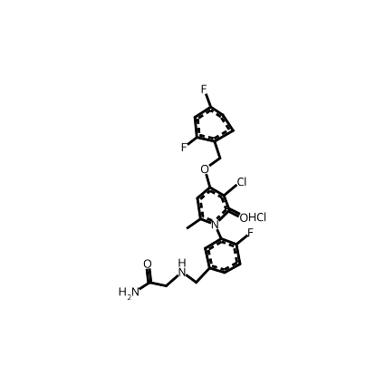 Cc1cc(OCc2ccc(F)cc2F)c(Cl)c(=O)n1-c1cc(CNCC(N)=O)ccc1F.Cl